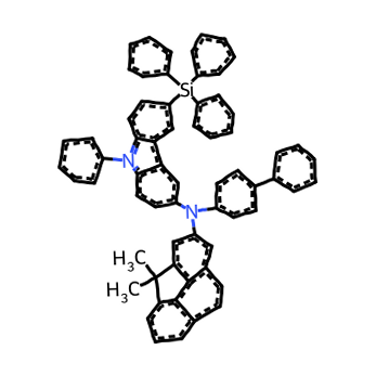 CC1(C)c2cccc3ccc4cc(N(c5ccc(-c6ccccc6)cc5)c5ccc6c(c5)c5cc([Si](c7ccccc7)(c7ccccc7)c7ccccc7)ccc5n6-c5ccccc5)cc1c4c23